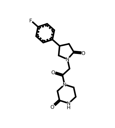 O=C1CN(C(=O)CN2CC(c3ccc(F)cc3)CC2=O)CCN1